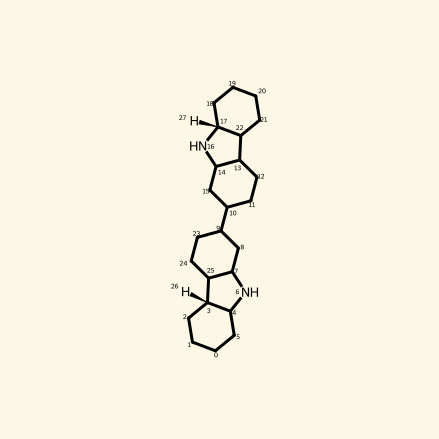 C1CC[C@H]2C(C1)NC1CC(C3CCC4C(C3)N[C@@H]3CCCCC43)CCC12